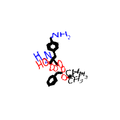 CC(C)(C)OC(=O)C(OC(=O)C(N)(Cc1ccc(CN)cc1)C(=O)O)c1ccccc1